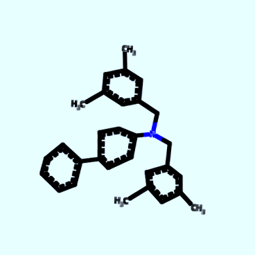 Cc1cc(C)cc(CN(Cc2cc(C)cc(C)c2)c2ccc(-c3ccccc3)cc2)c1